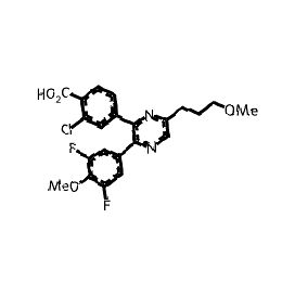 COCCCc1cnc(-c2cc(F)c(OC)c(F)c2)c(-c2ccc(C(=O)O)c(Cl)c2)n1